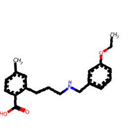 CCOc1cccc(CNCCCc2cc(C)ccc2C(=O)O)c1